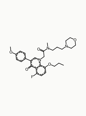 CCCOc1ccc(F)c2c(=O)c(-c3ccc(OC)cc3)cn(CC(=O)N(C)CCCN3CCOCC3)c12